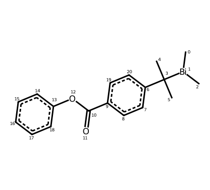 [CH3][Bi]([CH3])[C](C)(C)c1ccc(C(=O)Oc2ccccc2)cc1